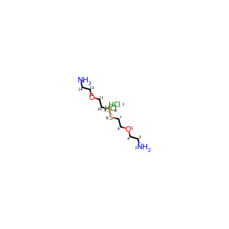 Cl.Cl.NCCOCCSSCCOCCN